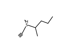 C#C[SH](C)C(C)CCC